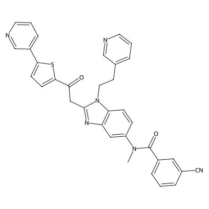 CN(C(=O)c1cccc(C#N)c1)c1ccc2c(c1)nc(CC(=O)c1ccc(-c3cccnc3)s1)n2CCc1cccnc1